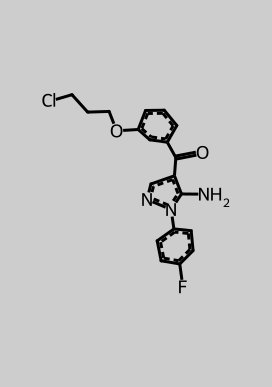 Nc1c(C(=O)c2cccc(OCCCCl)c2)cnn1-c1ccc(F)cc1